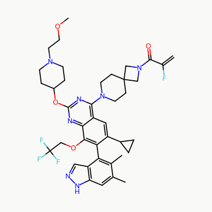 C=C(F)C(=O)N1CC2(CCN(c3nc(OC4CCN(CCOC)CC4)nc4c(OCC(F)(F)F)c(-c5c(C)c(C)cc6[nH]ncc56)c(C5CC5)cc34)CC2)C1